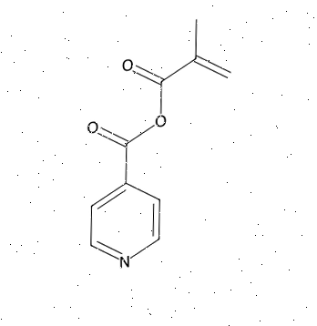 C=C(C)C(=O)OC(=O)c1ccncc1